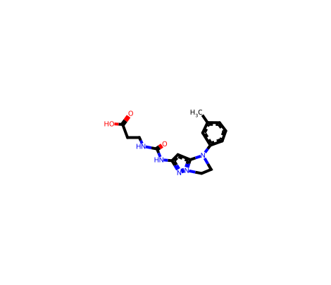 Cc1cccc(N2CCn3nc(NC(=O)NCCC(=O)O)cc32)c1